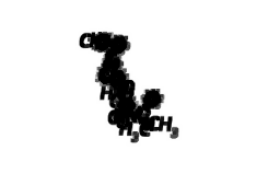 CN(C)CC[C@H](CSc1ccccc1)Nc1ccc(S(=O)(=O)NC(=O)c2ccc3c(c2)CCCC2CN(Cc4ccccc4-c4ccc(Cl)cc4)CCN32)cc1[N+](=O)[O-]